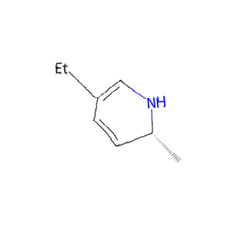 CCC1=CN[C@H](C)C=C1